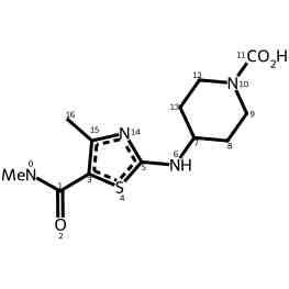 CNC(=O)c1sc(NC2CCN(C(=O)O)CC2)nc1C